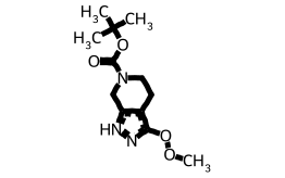 COOc1n[nH]c2c1CCN(C(=O)OC(C)(C)C)C2